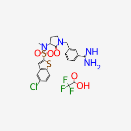 CN(C1CCN(Cc2cccc(C(=N)N)c2)C1=O)S(=O)(=O)c1cc2cc(Cl)ccc2s1.O=C(O)C(F)(F)F